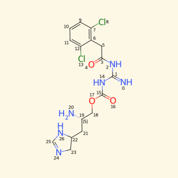 N=C(NC(=O)Cc1c(Cl)cccc1Cl)NC(=O)OC[C@@H](N)CC1CN=CN1